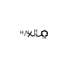 CC(C)(N)CNCc1ccccn1